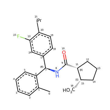 Cc1ccccc1[C@H](NC(=O)[C@@H]1CCC[C@@H]1C(=O)O)c1ccc(C(C)C)c(F)c1